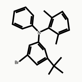 Cc1cccc(C)c1N(c1ccccc1)c1cc(Br)cc(C(C)(C)C)c1